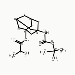 CC(S)C(=O)OC12CC3CC(CC(NC(=O)OC(C)(C)C)(C3)C1)C2